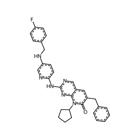 O=c1c(Cc2ccccc2)cc2cnc(Nc3ccc(NCc4ccc(F)cc4)cn3)nc2n1C1CCCC1